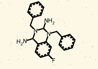 NC1c2ccc(F)cc2N(Cc2ccccc2)C(N)N1Cc1ccccc1